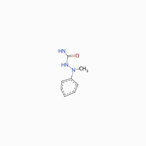 CN(NC([NH])=O)c1ccccc1